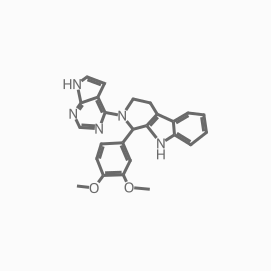 COc1ccc(C2c3[nH]c4ccccc4c3CCN2c2ncnc3[nH]ccc23)cc1OC